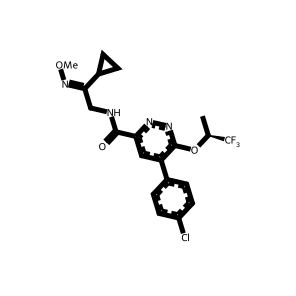 CO/N=C(/CNC(=O)c1cc(-c2ccc(Cl)cc2)c(O[C@@H](C)C(F)(F)F)nn1)C1CC1